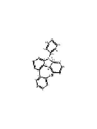 Brc1ccccc1-c1cccc2c1c1ccccc1n2-c1ccccc1